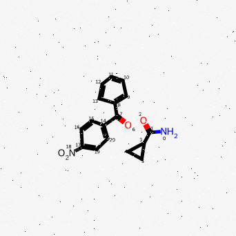 NC(=O)C1CC1.O=C(c1ccccc1)c1ccc([N+](=O)[O-])cc1